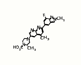 Cc1cc(-c2cc(F)c3nn(C)cc3c2)nc2ncc(N3CCN(C(=O)O)[C@@H](C)C3)cc12